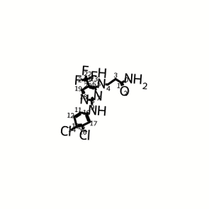 NC(=O)CCNc1nc(Nc2ccc(Cl)c(Cl)c2)ncc1C(F)(F)F